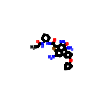 C=CC(=O)N[C@@H]1CCCC[C@@H]1NC(=O)c1sc2c(N)ccc3c2c1C(N)C(=O)C3(N)c1ccc(Oc2ccccc2)cc1